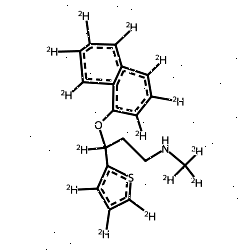 [2H]c1sc(C([2H])(CCNC([2H])([2H])[2H])Oc2c([2H])c([2H])c([2H])c3c([2H])c([2H])c([2H])c([2H])c23)c([2H])c1[2H]